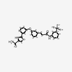 NC(=O)c1cnc(-c2cc(Oc3cccc(C=CC(=O)Nc4cccc(C(F)(F)F)c4)c3)ccn2)[nH]1